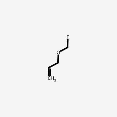 C=CCOCF